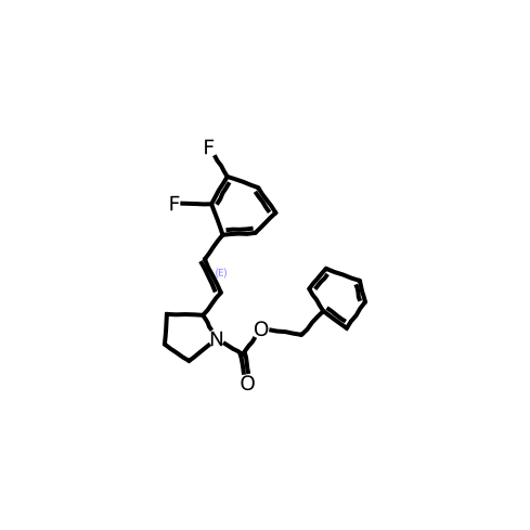 O=C(OCc1ccccc1)N1CCCC1/C=C/c1cccc(F)c1F